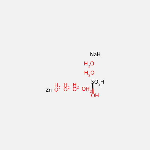 O.O.O.O.O.O.O=S(=O)(O)O.[NaH].[Zn]